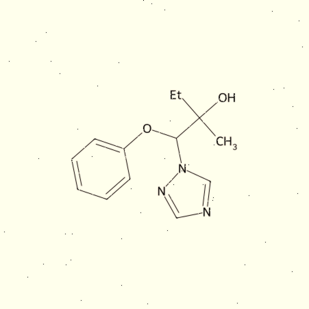 CCC(C)(O)C(Oc1ccccc1)n1cncn1